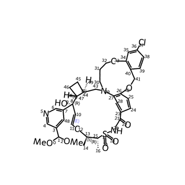 COC(OC)c1cncc([C@]2(O)/C=C/C[C@H](C)[C@@H](C)S(=O)(=O)NC(=O)c3ccc4c(c3)N(CCCCc3cc(Cl)ccc3CO4)C[C@@H]3CC[C@H]32)c1